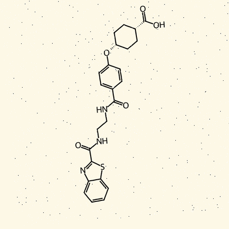 O=C(NCCNC(=O)c1nc2ccccc2s1)c1ccc(O[C@H]2CC[C@@H](C(=O)O)CC2)cc1